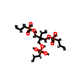 CCCS(=O)(=O)OCC(CC)(COS(=O)(=O)CCC)COS(=O)(=O)CCC